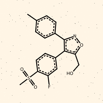 Cc1ccc(-c2noc(CO)c2-c2ccc(S(C)(=O)=O)c(F)c2)cc1